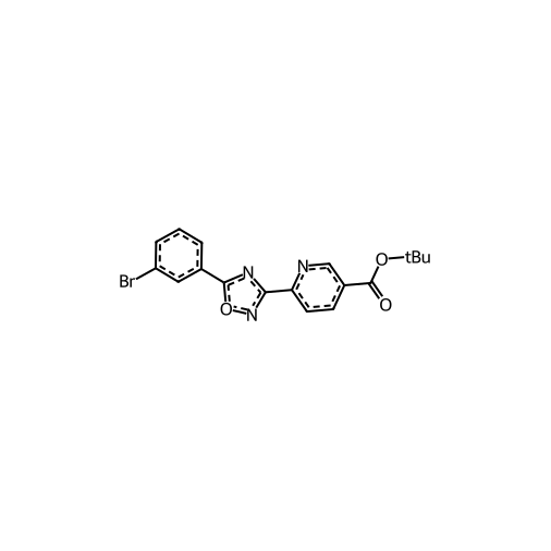 CC(C)(C)OC(=O)c1ccc(-c2noc(-c3cccc(Br)c3)n2)nc1